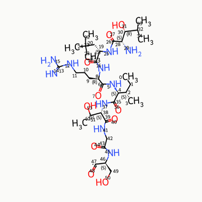 CC[C@H](C)[C@H](NC(=O)[C@@H](CCCNC(=N)N)NC(=O)[C@H](CC(C)(C)C)NC(=O)[C@@H](N)[C@H](O)C(C)C)C(=O)N[C@H](C(=O)NCC(=O)N[C@H]([C]=O)CO)[C@H](C)O